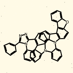 c1ccc(-c2nnc(-c3cccc4c3c3ccccc3n4-c3ccccc3-n3c4ccccc4c4c5c(ccc43)oc3ccccc35)n2-c2ccccc2)cc1